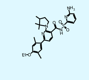 CCOc1cc(C)c(-c2ccc(C(=O)NS(=O)(=O)c3cccc(N)n3)c(N3CCC(C)C3(C)C)n2)cc1C